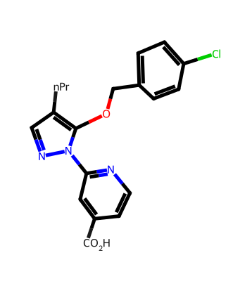 CCCc1cnn(-c2cc(C(=O)O)ccn2)c1OCc1ccc(Cl)cc1